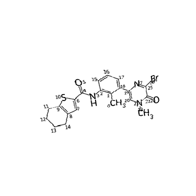 Cc1c(NC(=O)c2cc3c(s2)CCCC3)cccc1-c1cn(C)c(=O)c(Br)n1